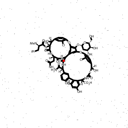 CN[C@H](CC(C)C)C(=O)N[C@H]1C(=O)N[C@@H](CC(N)=O)C(=O)N[C@H]2C(=O)N[C@@H](C(N)=O)c3ccc(O)c(c3)-c3c(O)cc(O)cc3[C@@H](C(=O)O)NC(=O)C[C@H](O)c3ccc(c(Cl)c3)Oc3cc2cc(c3O[C@H]2C[C@@H](O)[C@H](O)[C@@H](CO)O2)Oc2ccc(cc2Cl)[C@H]1O